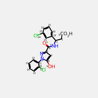 O=C(O)CC(NC(=O)c1cc(O)n(-c2ccccc2Cl)n1)c1cccc(Cl)c1